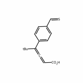 CC(C)(C)C(=C=CC(=O)O)c1ccc(C=S)cc1